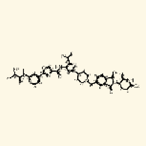 O=C1CCC(N2C(=O)c3ccc(CN4CCC(n5cc(NC(=O)c6coc(-c7ccnc(NC(F)C(F)F)c7)n6)c(C(F)F)n5)CC4)cc3C2=O)C(=O)N1